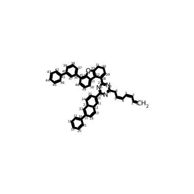 C=C/C=C\C=C/Cc1nc(C2=CC3C=CC(c4ccccc4)=CC3C=C2)nc(C2=CCCc3oc4c(-c5cccc(-c6ccccc6)c5)cccc4c32)n1